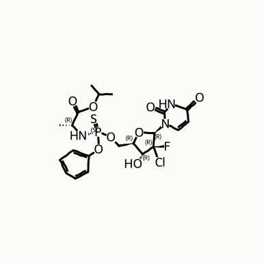 CC(C)OC(=O)[C@@H](C)N[P@](=S)(OC[C@H]1O[C@@H](n2ccc(=O)[nH]c2=O)[C@](F)(Cl)[C@@H]1O)Oc1ccccc1